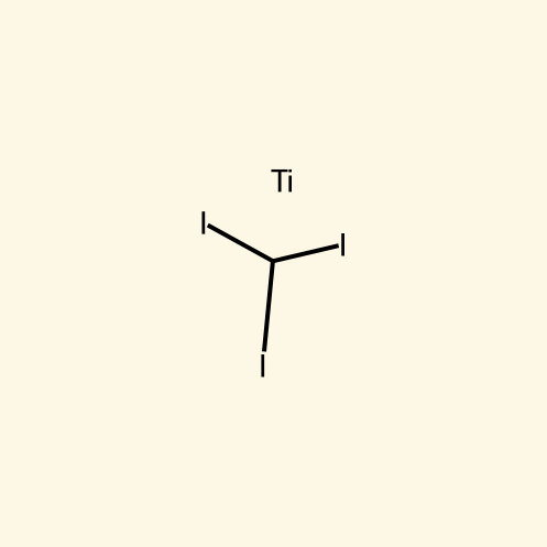 IC(I)I.[Ti]